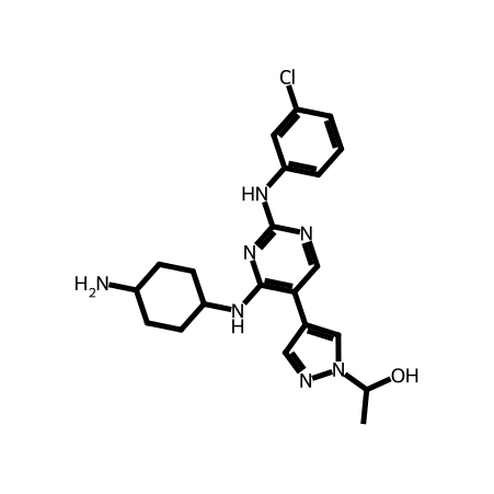 CC(O)n1cc(-c2cnc(Nc3cccc(Cl)c3)nc2NC2CCC(N)CC2)cn1